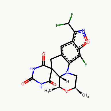 C[C@@H]1CN2c3c(cc4c(C(F)F)noc4c3F)CC3(C(=O)NC(=O)NC3=O)[C@H]2[C@H](C)O1